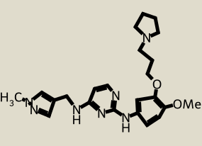 COc1ccc(Nc2nccc(NCc3cnn(C)c3)n2)cc1OCCCN1CCCC1